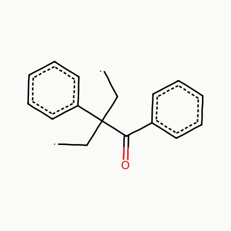 [CH2]CC(C[CH2])(C(=O)c1ccccc1)c1ccccc1